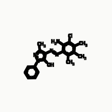 Cc1nn(-c2ccccc2)c(O)c1N=Nc1c(C)c(C)c(C)c(Cl)c1N